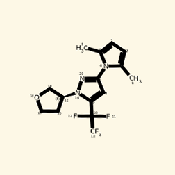 Cc1ccc(C)n1-c1cc(C(F)(F)C(F)(F)F)n([C@H]2CCOC2)n1